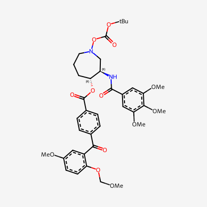 COCOc1ccc(OC)cc1C(=O)c1ccc(C(=O)O[C@@H]2CCCN(OC(=O)OC(C)(C)C)C[C@H]2NC(=O)c2cc(OC)c(OC)c(OC)c2)cc1